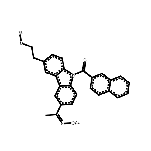 CCOCCc1ccc2c(c1)c1cc(/C(C)=N\OC(C)=O)ccc1n2C(=O)c1ccc2ccccc2c1